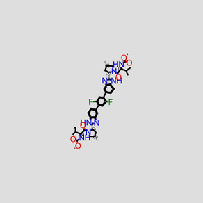 COC(=O)N[C@H](C(=O)N1C[C@@H](C)C[C@H]1c1nc2cc(-c3cc(F)c(-c4ccc5[nH]c([C@@H]6C[C@H](C)CN6C(=O)[C@@H](NC(=O)OC)C(C)C)nc5c4)cc3F)ccc2[nH]1)C(C)C